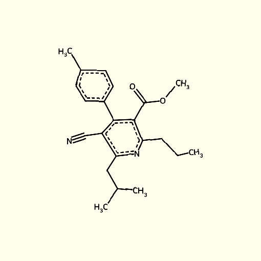 CCCc1nc(CC(C)C)c(C#N)c(-c2ccc(C)cc2)c1C(=O)OC